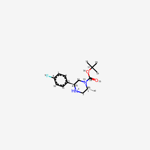 C[C@@H]1CN[C@@H](c2ccc(F)cc2)CN1C(=O)OC(C)(C)C